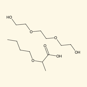 CCCCOC(C)C(=O)O.OCCOCCOCCO